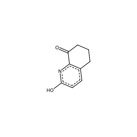 O=C1CCCc2ccc(O)nc21